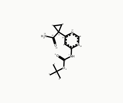 CC(C)(C)OC(=O)Nc1cc(C2(C(N)=O)CC2)ncn1